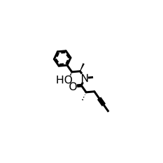 CC#CC[C@H](C)C(=O)N(C)[C@H](C)[C@H](O)c1ccccc1